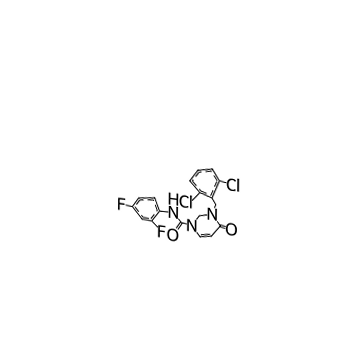 O=C(Nc1ccc(F)cc1F)N1C=CC(=O)N(Cc2c(Cl)cccc2Cl)C1